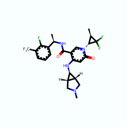 C[C@@H]1[C@@H](n2cc(C(=O)N[C@H](C)c3cccc(C(F)(F)F)c3F)c(N[C@H]3[C@@H]4CN(C)C[C@@H]43)cc2=O)C1(F)F